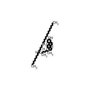 CC(C)CCCC(C)[C@H]1CC[C@H]2[C@@H]3CC=C4C[C@@H](O)CC[C@]4(C)[C@H]3CC[C@]12C.CCCCCCCCCCCCCCCCOCCCCCCCCCCCCCCCC